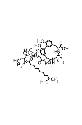 CC(C)CCCCCCCCC(=O)N(C)[C@H](CO)C(=O)N[C@H](C)C(=O)NCC(=O)N(C)[C@@H]1C(=O)N[C@@H](C)C(=O)N[C@H](C(=O)O)Cc2ccc(O)c(c2)-c2cc1ccc2O